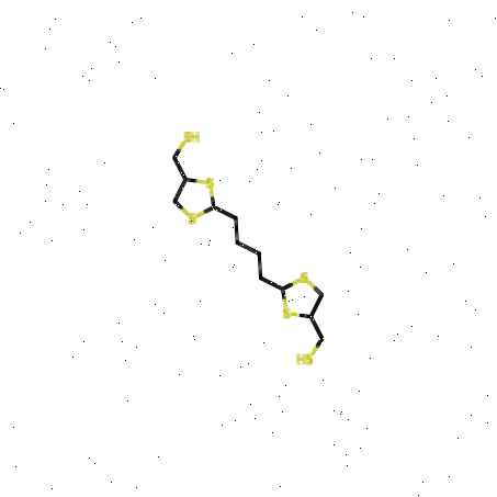 SCC1CSC(CCCCC2SCC(CS)S2)S1